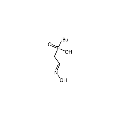 CCC(C)P(=O)(O)CC=NO